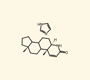 C[C@@]12CCCC1C1CC[C@H]3NC(=O)C=C[C@]3(C)C1CC2.c1c[nH]cn1